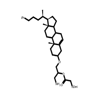 CCCCCCCCCCCC(=O)OC(CN)COC1CC[C@@]2(C)C(=CCC3C2CC[C@@]2(C)C3CC[C@@H]2[C@H](C)CCCC(C)C)C1